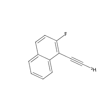 [2H]C#Cc1c(F)ccc2ccccc12